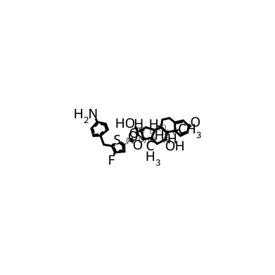 C[C@]12C=CC(=O)C=C1CC[C@@H]1[C@@H]2[C@@H](O)C[C@@]2(C)[C@H]1C[C@H]1O[C@@H](c3cc(F)c(Cc4ccc(N)cc4)s3)O[C@]12C(=O)CO